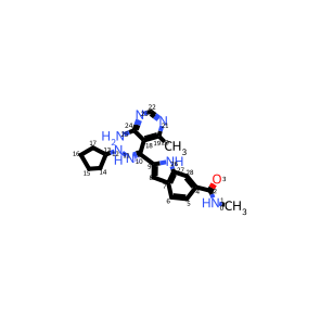 CNC(=O)c1ccc2cc(/C(=N/NC3CCCC3)c3c(C)ncnc3N)[nH]c2c1